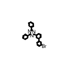 Brc1cccc(C2C=CC=C(c3nc(-c4ccccc4)nc(-c4ccccc4)n3)C2)c1